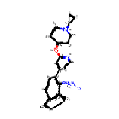 Nc1c(-c2ccnc(OC3CCN(C4CC4)CC3)c2)ccc2c1CCC2